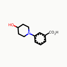 O=C(O)c1cccc(N2CCC(O)CC2)c1